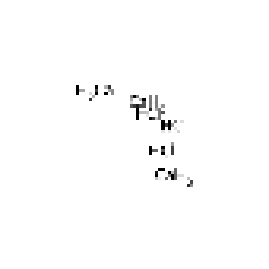 Cl.Cl.Cl.[CaH2].[CaH2].[CaH2]